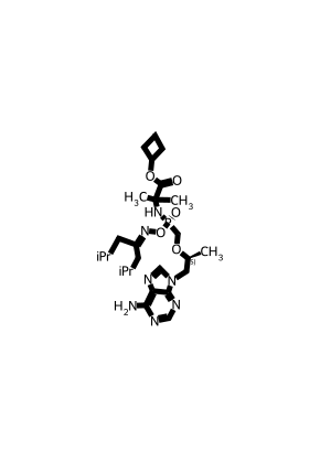 CC(C)CC(CC(C)C)=NOP(=O)(CO[C@@H](C)Cn1cnc2c(N)ncnc21)NC(C)(C)C(=O)OC1CCC1